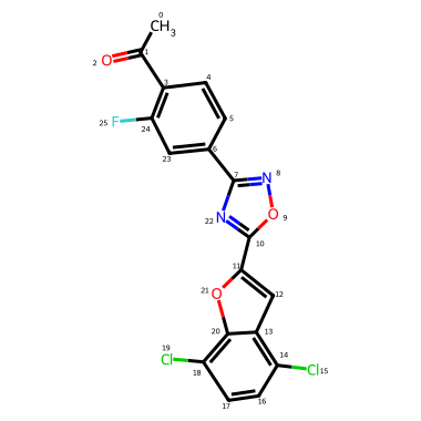 CC(=O)c1ccc(-c2noc(-c3cc4c(Cl)ccc(Cl)c4o3)n2)cc1F